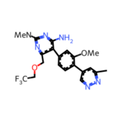 CNc1nc(N)c(-c2ccc(-c3cnnc(C)c3)c(OC)c2)c(COCC(F)(F)F)n1